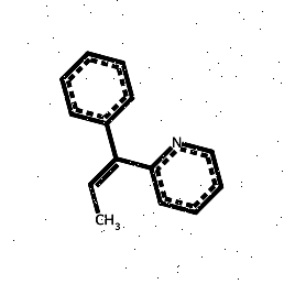 CC=C(c1ccccc1)c1ccccn1